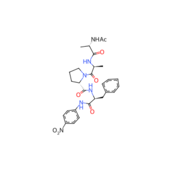 CC(=O)N[C@@H](C)C(=O)N[C@@H](C)C(=O)N1CCC[C@H]1C(=O)N[C@@H](Cc1ccccc1)C(=O)Nc1ccc([N+](=O)[O-])cc1